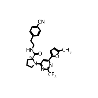 Cc1ccc(-c2cc(N3CCC[C@H]3C(=O)NCCc3ccc(C#N)cc3)nc(C(F)(F)F)n2)o1